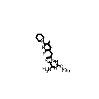 CCCCOc1nc(N)c2ncc(Cc3cc(C)c(N4CCCCC4)nc3F)n2n1